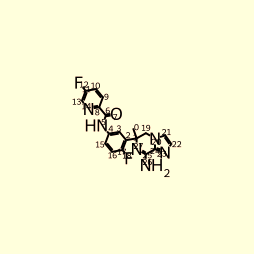 CC1(c2cc(NC(=O)c3ccc(F)cn3)ccc2F)Cn2ccnc2C(N)=N1